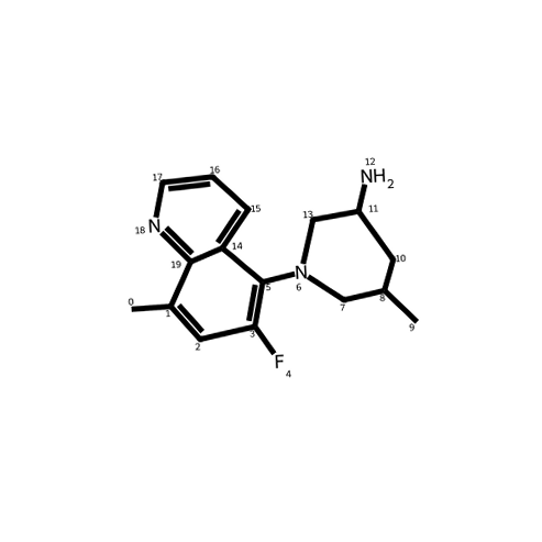 Cc1cc(F)c(N2CC(C)CC(N)C2)c2cccnc12